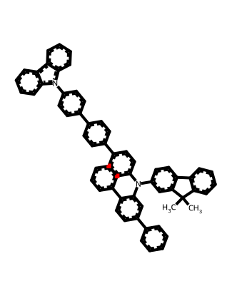 CC1(C)c2ccccc2-c2ccc(N(c3ccc(-c4ccc(-c5ccc(-n6c7ccccc7c7ccccc76)cc5)cc4)cc3)c3cc(-c4ccccc4)ccc3-c3ccccc3)cc21